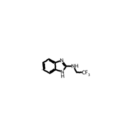 FC(F)(F)CNc1nc2cc[c]cc2[nH]1